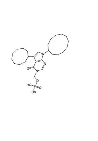 O=c1c2c(C3CCCCCCCC3)cn(C3CCCCCCCCCC3)c2ncn1COP(=O)(O)O